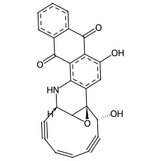 O=C1c2ccccc2C(=O)c2c3c(cc(O)c21)[C@@]12OC1[C@H](C#C/C=C\C#C[C@H]2O)N3